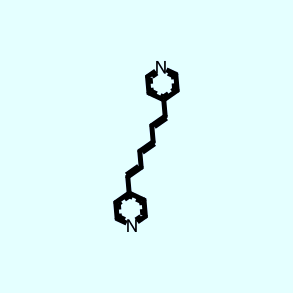 C(=C\C=C\c1ccncc1)/C=C/c1ccncc1